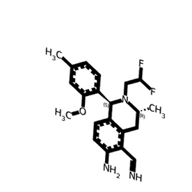 COc1cc(C)ccc1[C@@H]1c2ccc(N)c(C=N)c2C[C@@H](C)N1CC(F)F